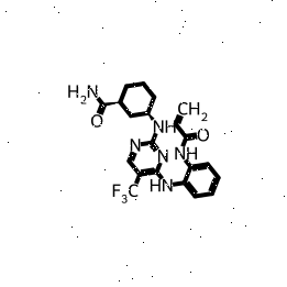 C=CC(=O)Nc1ccccc1Nc1nc(N[C@@H]2CCC[C@H](C(N)=O)C2)ncc1C(F)(F)F